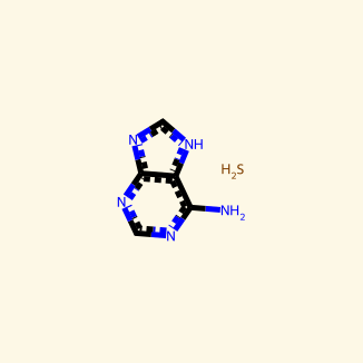 Nc1ncnc2nc[nH]c12.S